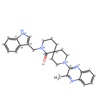 Cc1nc2ccccc2nc1N1CCC2(CCCN(Cc3c[nH]c4ccccc34)C2=O)CC1